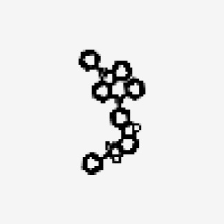 c1ccc(-c2nc3c(ccc4oc5cc(N(c6ccccc6)c6cccc7c6c6ccccc6n7-c6ccccc6)ccc5c43)o2)cc1